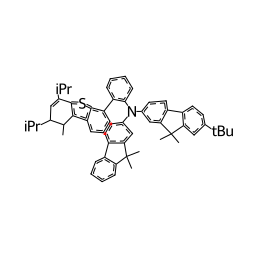 CC(C)C1=CC(C(C)C)C(C)c2c1sc1c(-c3ccccc3N(c3ccc4c(c3)C(C)(C)c3ccccc3-4)c3ccc4c(c3)C(C)(C)c3cc(C(C)(C)C)ccc3-4)cccc21